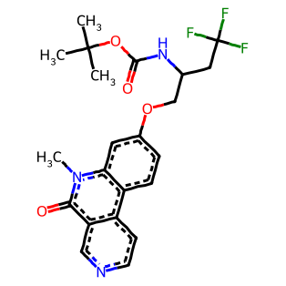 Cn1c(=O)c2cnccc2c2ccc(OCC(CC(F)(F)F)NC(=O)OC(C)(C)C)cc21